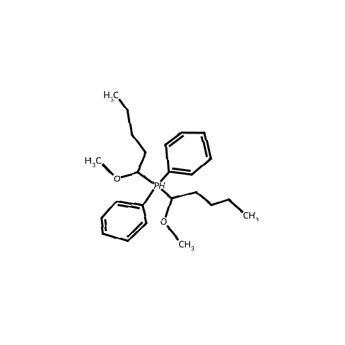 CCCCC(OC)[PH](c1ccccc1)(c1ccccc1)C(CCCC)OC